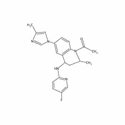 CC(=O)N1c2ccc(-n3cnc(C)c3)cc2C(Nc2ccc(F)cn2)CC1C